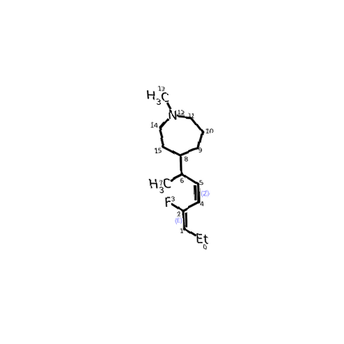 CC/C=C(F)\C=C/C(C)C1CCCN(C)CC1